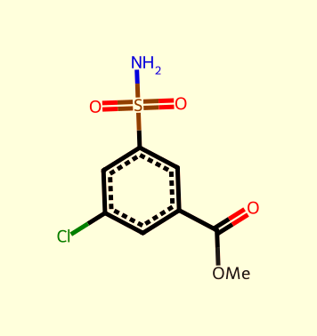 COC(=O)c1cc(Cl)cc(S(N)(=O)=O)c1